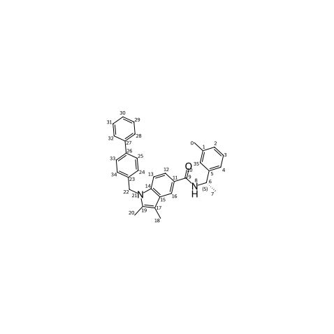 Cc1cccc([C@H](C)NC(=O)c2ccc3c(c2)c(C)c(C)n3Cc2ccc(-c3ccccc3)cc2)c1